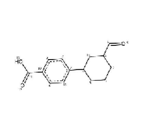 O=CC1CCCC(c2ccc(C(=O)O)cc2)C1